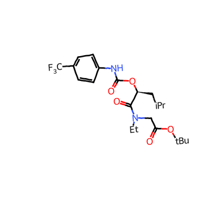 CCN(CC(=O)OC(C)(C)C)C(=O)[C@H](CC(C)C)OC(=O)Nc1ccc(C(F)(F)F)cc1